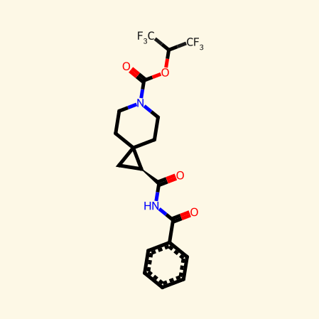 O=C(NC(=O)[C@H]1CC12CCN(C(=O)OC(C(F)(F)F)C(F)(F)F)CC2)c1ccccc1